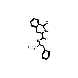 CN1C(=O)c2ccccc2CC1C(=O)N[C@@H](Cc1ccccc1)C(=O)O